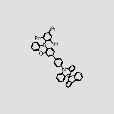 CC(C)c1cc(C(C)C)c(B2c3ccccc3Oc3cc(-c4ccc(N5c6ccccc6[Si]6(c7ccccc7-c7ccccc76)c6ccccc65)cc4)ccc32)c(C(C)C)c1